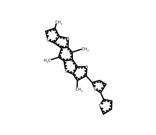 Cc1csc2c1sc1c(C)c3c(sc4c(C)c(-c5ccc(-c6cccs6)s5)sc43)c(C)c12